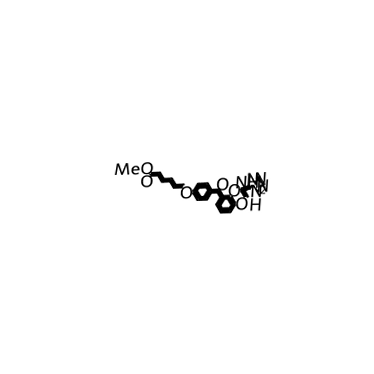 COC(=O)CCCCCOc1ccc(C(=O)c2cccc3c2OC(N)(c2nnn[nH]2)CO3)cc1